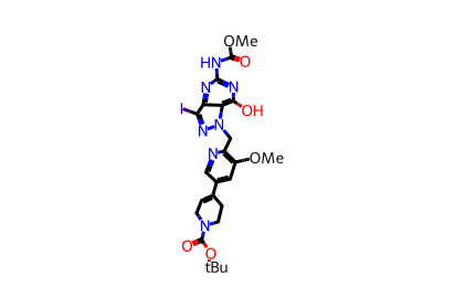 COC(=O)Nc1nc(O)c2c(n1)c(I)nn2Cc1ncc(C2=CCN(C(=O)OC(C)(C)C)CC2)cc1OC